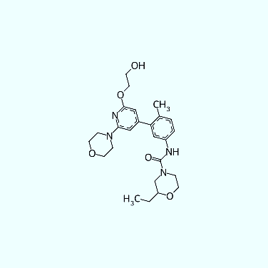 CCC1CN(C(=O)Nc2ccc(C)c(-c3cc(OCCO)nc(N4CCOCC4)c3)c2)CCO1